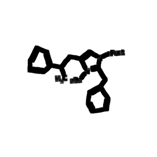 CCCCCn1cc(CC(C)c2ccccc2)[n+](CCCC)c1Cc1ccccc1